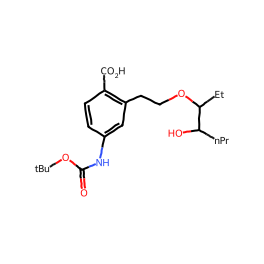 CCCC(O)C(CC)OCCc1cc(NC(=O)OC(C)(C)C)ccc1C(=O)O